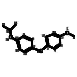 COc1ccc(Oc2ccc(OC(C)C)cc2)cc1